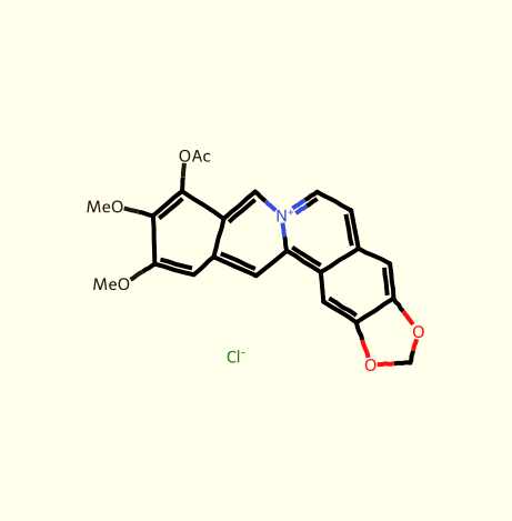 COc1cc2cc3c4cc5c(cc4cc[n+]3cc2c(OC(C)=O)c1OC)OCO5.[Cl-]